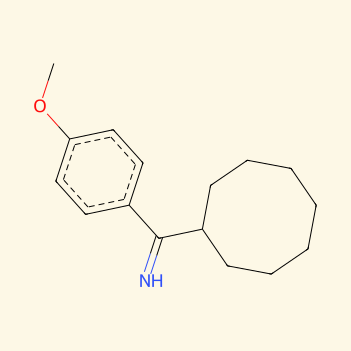 COc1ccc(C(=N)C2CCCCCCC2)cc1